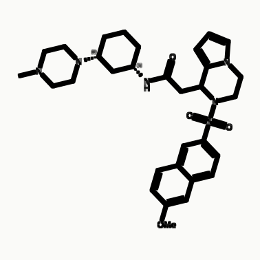 COc1ccc2cc(S(=O)(=O)N3CCn4cccc4C3CC(=O)N[C@H]3CCC[C@@H](N4CCN(C)CC4)C3)ccc2c1